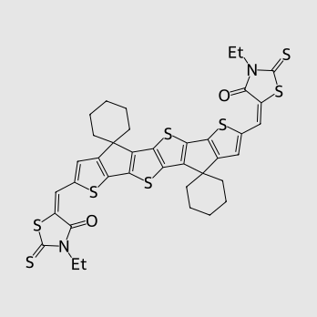 CCN1C(=O)/C(=C\c2cc3c(s2)-c2sc4c5c(sc4c2C32CCCCC2)-c2sc(/C=C3/SC(=S)N(CC)C3=O)cc2C52CCCCC2)SC1=S